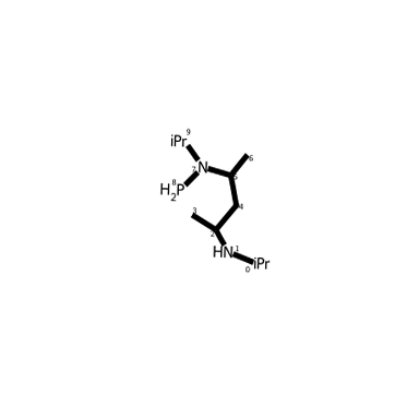 CC(C)NC(C)CC(C)N(P)C(C)C